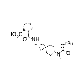 CN(C(=O)OC(C)(C)C)C1CCC2(CC1)CC(CNC(=O)c1ccccc1C(=O)O)C2